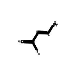 CC(C)C=CC(=O)I